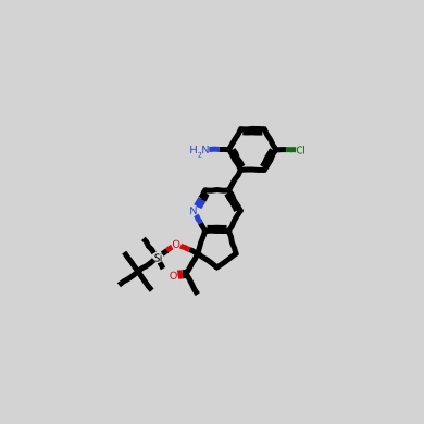 CC(=O)C1(O[Si](C)(C)C(C)(C)C)CCc2cc(-c3cc(Cl)ccc3N)cnc21